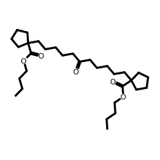 CCCCOC(=O)C1(CCCCCC(=O)CCCCCC2(C(=O)OCCCC)CCCC2)CCCC1